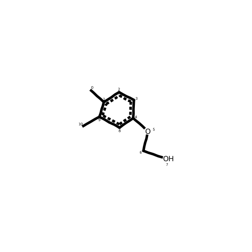 Cc1ccc(OCO)cc1C